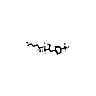 CSCCCC(O)NC(=O)C(CS)Cc1ccc(C(F)(F)F)cc1